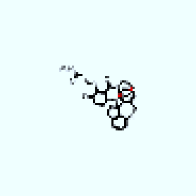 COC(=O)OCOc1c2n(ccc1=O)N(C13CCc4cccc(c41)SCc1ccccc13)C1COCCN1C2=O